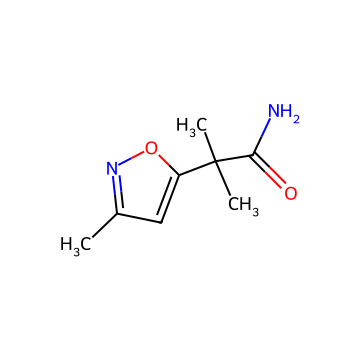 Cc1cc(C(C)(C)C(N)=O)on1